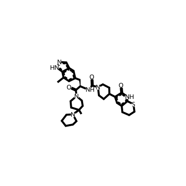 Cc1cc(C[C@@H](NC(=O)N2CCC(c3cc4c([nH]c3=O)SCCC4)CC2)C(=O)N2CCC(C)(N3CCCCC3)CC2)cc2cn[nH]c12